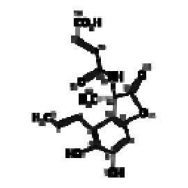 C/C=C/c1c(O)c(O)cc2c1[C@@](C)(NC(=O)/C=C/C(=O)O)C(=O)O2